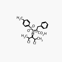 CC(Cl)C(=O)C(C)Cl.Cc1ccc(S(=O)(=O)N[C@@H](Cc2ccccc2)C(=O)O)cc1